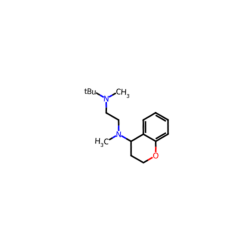 CN(CCN(C)C(C)(C)C)C1CCOc2ccccc21